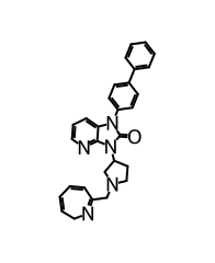 O=c1n(-c2ccc(-c3ccccc3)cc2)c2cccnc2n1C1CCN(CC2=NCC=CC=C2)C1